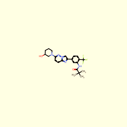 CC(C)(C)C(=O)Nc1cc(-c2cn3nc(N4CCCC(O)C4)ccc3n2)ccc1C(F)(F)F